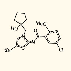 COc1ccc(Cl)cc1C(=O)N=c1sc(C(C)(C)C)cn1CC1(O)CCCC1